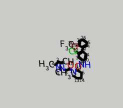 CC1=CC(C)N(C)N1CC(=O)N1CCCCC1ONc1ccc(-c2ccccc2OC(F)(F)F)c(Cl)c1